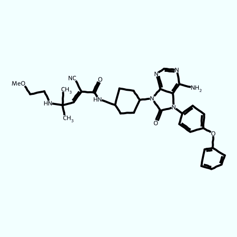 COCCNC(C)(C)C=C(C#N)C(=O)NC1CCC(n2c(=O)n(-c3ccc(Oc4ccccc4)cc3)c3c(N)ncnc32)CC1